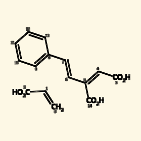 C=CC(=O)O.O=C(O)C=C(C=Cc1ccccc1)C(=O)O